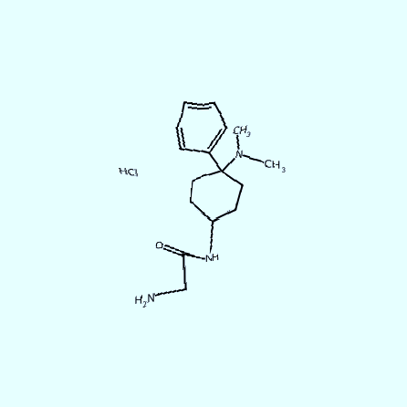 CN(C)C1(c2ccccc2)CCC(NC(=O)CN)CC1.Cl